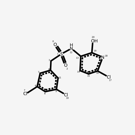 O=S(=O)(Cc1cc(Cl)cc(Cl)c1)Nc1ccc(Cl)nc1O